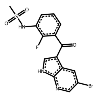 CS(=O)(=O)Nc1cccc(C(=O)c2c[nH]c3ncc(Br)cc23)c1F